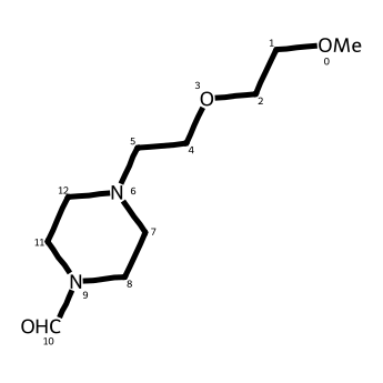 COCCOCCN1CCN(C=O)CC1